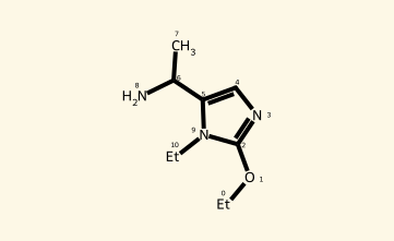 CCOc1ncc(C(C)N)n1CC